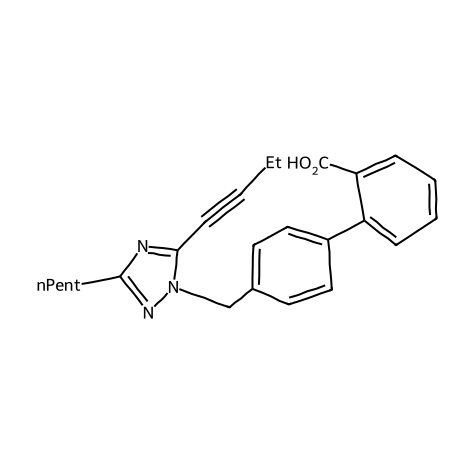 CCC#Cc1nc(CCCCC)nn1Cc1ccc(-c2ccccc2C(=O)O)cc1